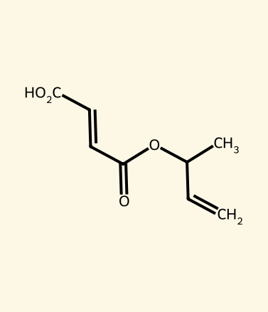 C=CC(C)OC(=O)C=CC(=O)O